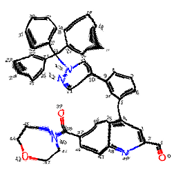 O=Cc1cc(-c2cccc(-c3cnn(C(c4ccccc4)(c4ccccc4)c4ccccc4)c3)c2)c2cc(C(=O)N3CCOCC3)ccc2n1